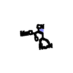 COC(=O)/C(C#N)=C\c1cncnc1